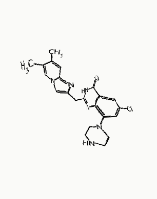 Cc1cc2nc(Cc3nc4c(N5CCNCC5)cc(Cl)cc4c(=O)[nH]3)cn2cc1C